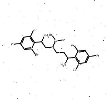 CC(C)c1cc(C(C)C)c(C(N)CC[N](CC(N)c2c(C(C)C)cc(C(C)C)cc2C(C)C)[Co]([Br])[Br])c(C(C)C)c1